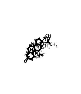 C#C[C@]1(OC(C)=O)CC[C@H]2[C@@H]3CCC4=CC(=O)CC[C@@H]4[C@H]3[C@@H](C(F)F)C[C@@]21C